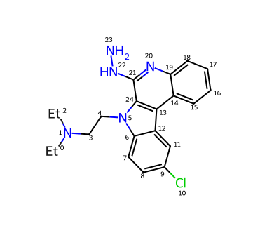 CCN(CC)CCn1c2ccc(Cl)cc2c2c3ccccc3nc(NN)c21